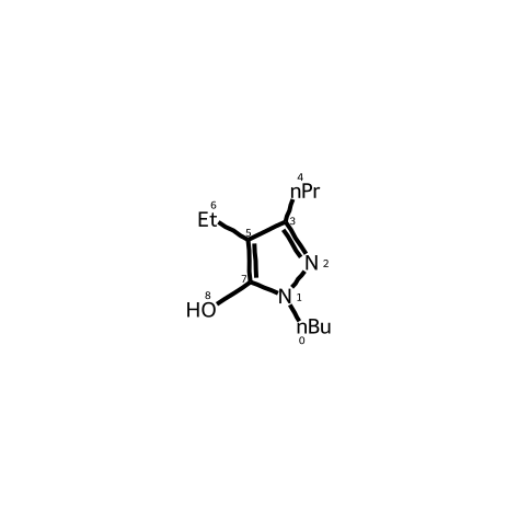 CCCCn1nc(CCC)c(CC)c1O